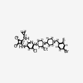 CC[C@H]1CN(c2ncc(Nc3c(NC4CC4)c(=O)c3=O)cc2Cl)CCN1C1CCN(Cc2ccc(Br)cc2F)CC1